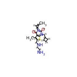 Cc1c(CNCCN)sc2c1c(=O)n([C@H]1C[C@@H]1C)c(=O)n2CC1CCC1